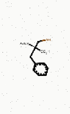 CC(=O)N[C@](CS)(Cc1ccccc1)C(=O)O